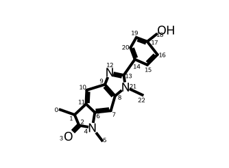 CC1C(=O)N(C)c2cc3c(cc21)nc(-c1ccc(O)cc1)n3C